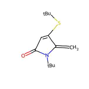 C=C1C(SC(C)(C)C)=CC(=O)N1C(C)(C)C